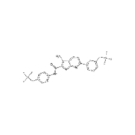 Nc1c(C(=O)Nc2ccc(OC(F)(F)F)cc2)sc2nc(-c3cccc(CC(F)(F)F)c3)ccc12